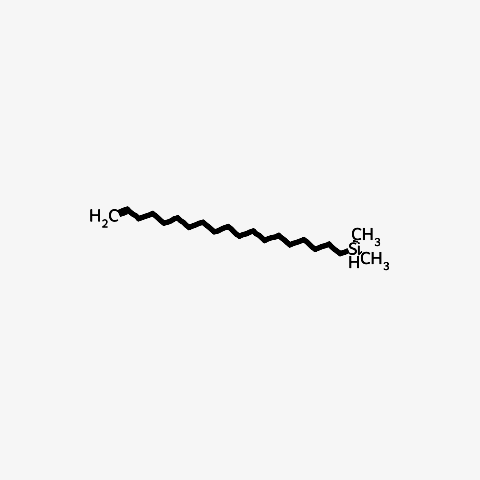 C=CCCCCCCCCCCCCCCCCC[SiH](C)C